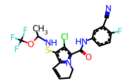 CC(NSc1c(Cl)c(C(=O)Nc2ccc(F)c(C#N)c2)n2c1C=CCC2)OC(F)(F)F